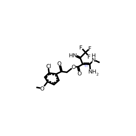 CN/C(N)=C(\C(=N)C(F)(F)F)C(=O)OCC(=O)c1ccc(OC)cc1Cl